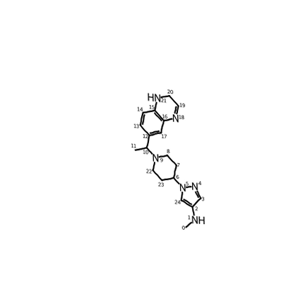 CNc1cnn(C2CCN(C(C)c3ccc4c(c3)N=CCN4)CC2)c1